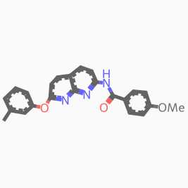 COc1ccc(C(=O)Nc2ccc3ccc(Oc4cccc(C)c4)nc3n2)cc1